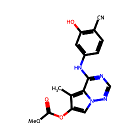 COC(=O)Oc1cn2ncnc(Nc3ccc(C#N)c(O)c3)c2c1C